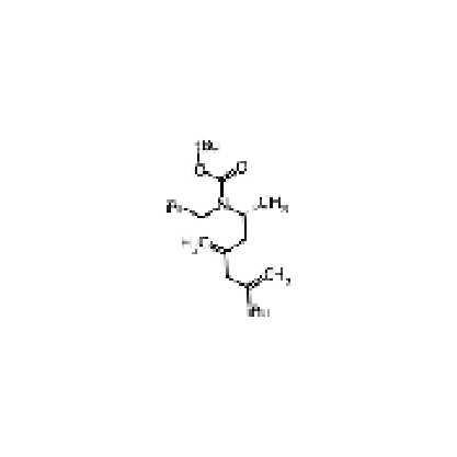 C=C(CC(=C)C(C)CC)C[C@@H](C)N(CC(C)C)C(=O)OC(C)(C)C